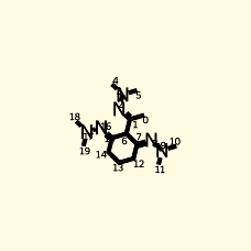 CC(=NN(C)C)C1C(=NN(C)C)CCCC1=NN(C)C